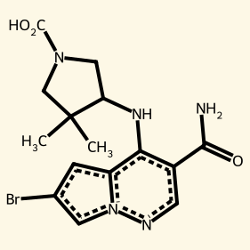 CC1(C)CN(C(=O)O)CC1Nc1c(C(N)=O)cnn2cc(Br)cc12